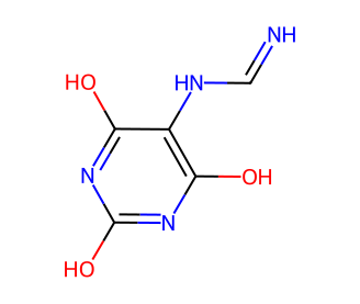 N=CNc1c(O)nc(O)nc1O